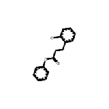 O=C(CCc1ccccc1Cl)Oc1ccccc1